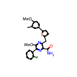 COc1ccc(-c2ccc(Cc3nc(OC)c(-c4ccccc4F)nc3C(N)=O)s2)cc1C